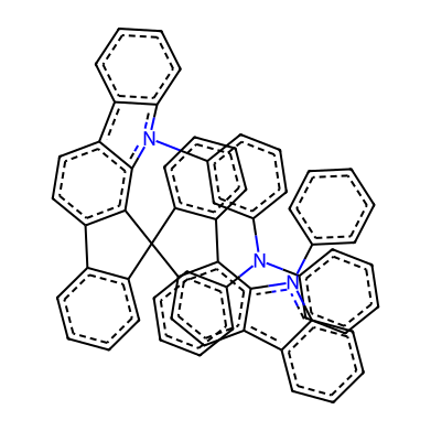 c1ccc(N(c2ccccc2)c2cccc(-n3c4ccccc4c4ccc5c(c43)C3(c4ccccc4-5)c4ccccc4-c4c3ccc3c5ccccc5n(-c5ccccc5)c43)c2)cc1